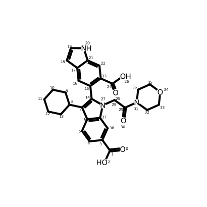 O=C(O)c1ccc2c(C3CCCCC3)c(-c3cc4cc[nH]c4cc3C(=O)O)n(CC(=O)N3CCOCC3)c2c1